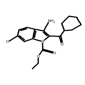 CCOC(=O)n1c(C(=O)C2CCCCC2)c(N)c2ccc(Cl)cc21